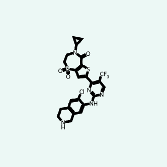 O=C1c2sc(-c3nc(Nc4cc5c(cc4Cl)CCNC5)ncc3C(F)(F)F)cc2S(=O)(=O)CCN1C1CC1